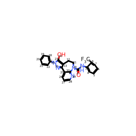 O=C(Nc1ccccc1C(F)(F)F)N1CCc2c(nn(-c3ccccc3)c2O)-c2cccnc21